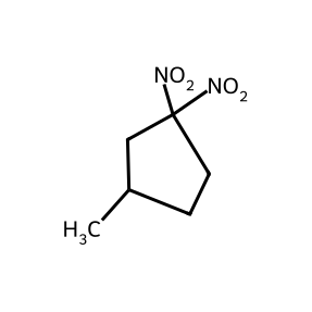 CC1CCC([N+](=O)[O-])([N+](=O)[O-])C1